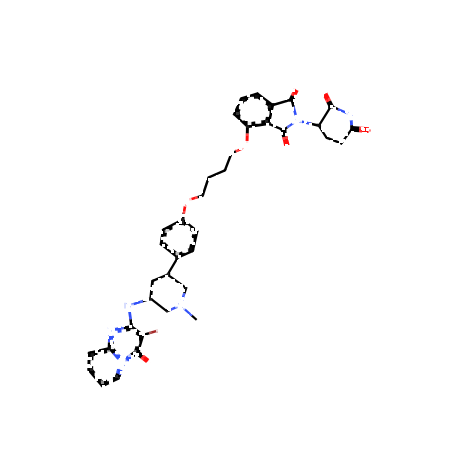 CN1CC(Nc2nc3ccccn3c(=O)c2Br)CC(c2ccc(OCCCCOc3cccc4c3C(=O)N(C3CCC(=O)NC3=O)C4=O)cc2)C1